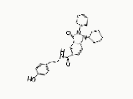 O=C(NCCc1ccc(O)cc1)c1ccc2c(c1)c(=O)n(-c1ccccc1)n2C1CCCCC1